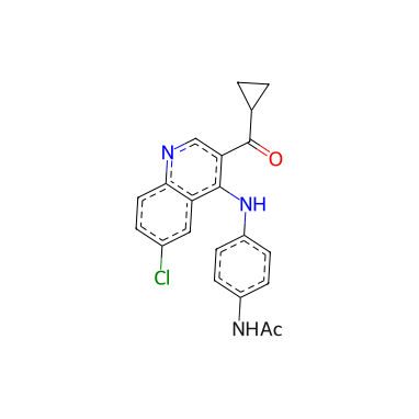 CC(=O)Nc1ccc(Nc2c(C(=O)C3CC3)cnc3ccc(Cl)cc23)cc1